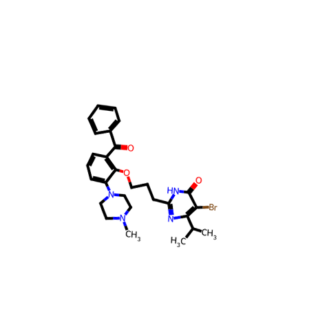 CC(C)c1nc(CCCOc2c(C(=O)c3ccccc3)cccc2N2CCN(C)CC2)[nH]c(=O)c1Br